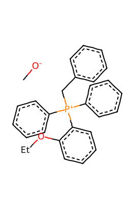 CCOc1ccccc1[P+](Cc1ccccc1)(c1ccccc1)c1ccccc1.C[O-]